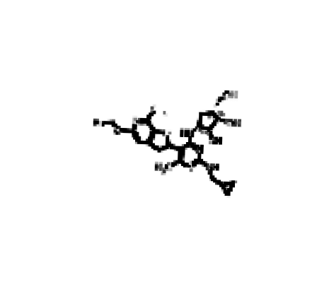 Cc1nc(OCC(C)(C)C)cc2c1OC(c1c(C)nc(NCC3CC3)nc1N[C@@H]1C[C@H](CO)[C@@H](O)[C@H]1O)C2